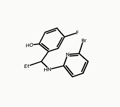 CCC(Nc1cccc(Br)n1)c1cc(F)ccc1O